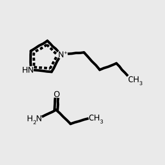 CCC(N)=O.CCCC[n+]1cc[nH]c1